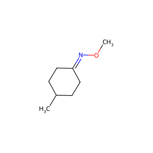 CON=C1CCC(C)CC1